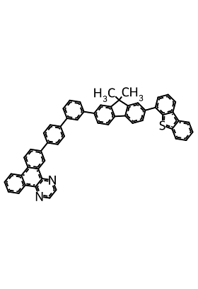 CC1(C)c2cc(-c3cccc(-c4ccc(-c5ccc6c7ccccc7c7nccnc7c6c5)cc4)c3)ccc2-c2ccc(-c3cccc4c3sc3ccccc34)cc21